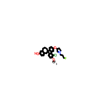 Oc1ccc2c(c1)CCCC(c1ccc(O[C@H]3CCN(CCCF)C3)cc1)(c1ccc(OC(F)(F)F)c(Cl)c1)C2